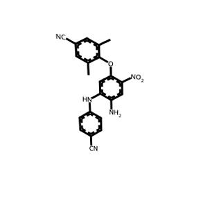 Cc1cc(C#N)cc(C)c1Oc1cc(Nc2ccc(C#N)cc2)c(N)cc1[N+](=O)[O-]